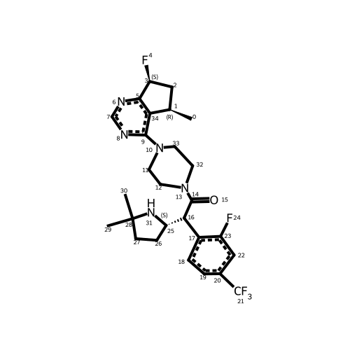 C[C@@H]1C[C@H](F)c2ncnc(N3CCN(C(=O)C(c4ccc(C(F)(F)F)cc4F)[C@@H]4CCC(C)(C)N4)CC3)c21